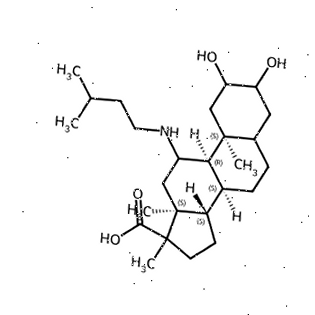 CC(C)CCNC1C[C@@]2(C)[C@@H](CCC2(C)C(=O)O)[C@@H]2CCC3CC(O)C(O)C[C@]3(C)[C@H]12